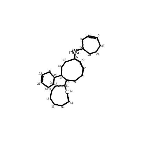 C1=CCC(NC2CCCCC(C3CCCCCCC3)C(C3CC=CCC3)CC2)CCC1